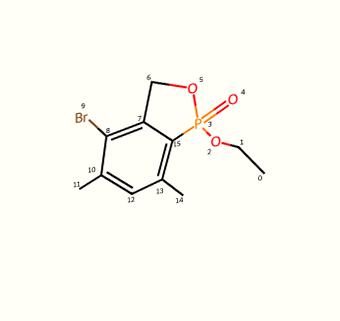 CCOP1(=O)OCc2c(Br)c(C)cc(C)c21